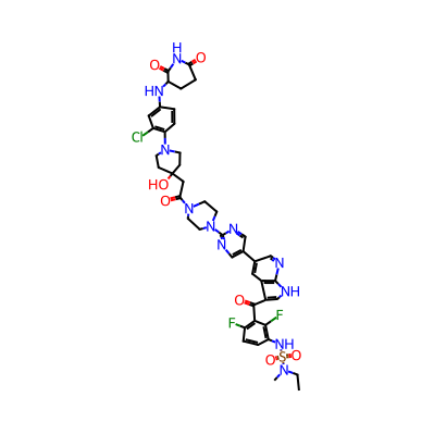 CCN(C)S(=O)(=O)Nc1ccc(F)c(C(=O)c2c[nH]c3ncc(-c4cnc(N5CCN(C(=O)CC6(O)CCN(c7ccc(NC8CCC(=O)NC8=O)cc7Cl)CC6)CC5)nc4)cc23)c1F